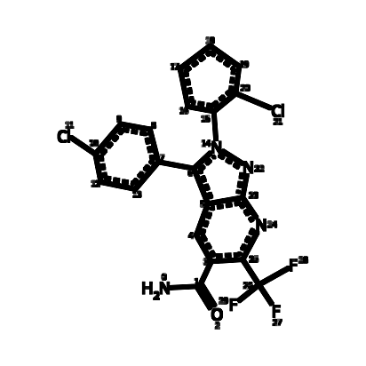 NC(=O)c1cc2c(-c3ccc(Cl)cc3)n(-c3ccccc3Cl)nc2nc1C(F)(F)F